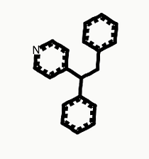 c1ccc(CC(c2ccccc2)c2ccncc2)cc1